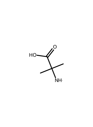 CC(C)([NH])C(=O)O